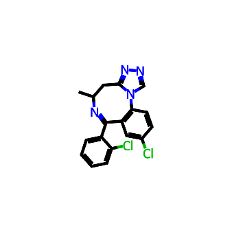 CC1Cc2nncn2-c2ccc(Cl)cc2C(c2ccccc2Cl)=N1